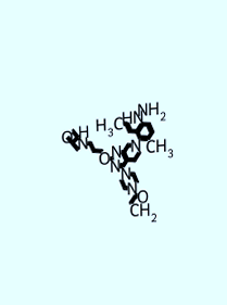 C=CC(=O)N1CCN(c2nc(OCCCN3CC4OC[C@H]43)nc3c2CCN(c2c(C)ccc(NN)c2/C=C/C)C3)CC1